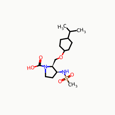 CC(C)C1CCC(OC[C@H]2[C@@H](NS(C)(=O)=O)CCN2C(=O)O)CC1